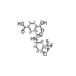 O=C(O)c1ccc(C(=O)O)c(C(=O)Nc2ccc(Cl)c(C(F)(F)F)c2)c1